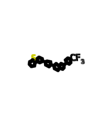 FC(F)(F)c1ccc(-c2ccc3ccc(-c4ccc(-c5ccc6sc7ccccc7c6c5)cc4)cc3c2)cc1